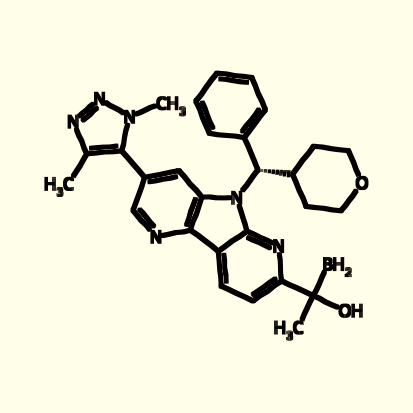 BC(C)(O)c1ccc2c3ncc(-c4c(C)nnn4C)cc3n([C@H](c3ccccc3)C3CCOCC3)c2n1